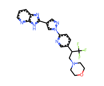 FC(F)(F)C(CN1CCOCC1)c1ccc(-n2cc(-c3nc4cccnc4[nH]3)cn2)nc1